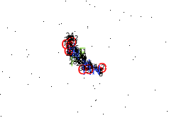 CC(=O)NC[C@H]1CN(c2cc(F)c(N3CCON(C(=O)OC(C)(C)C)CC3)c(F)c2)C(=O)O1